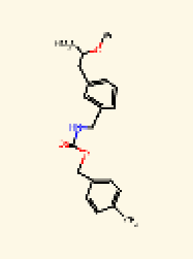 CC(C)OC(Cc1cccc(CNC(=O)OCc2ccc(C(F)(F)F)cc2)c1)C(=O)O